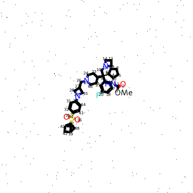 COC(=O)N[C@H]1CCC[C@@H]1C(CN1CCC1)(c1cccc(F)c1)C1CCN(CC2CN(c3ccc(S(=O)(=O)C4CC5CC4C5)cc3)C2)CC1